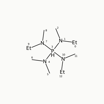 CCN(C)[PH](N(C)C)(N(C)CC)N(C)CC